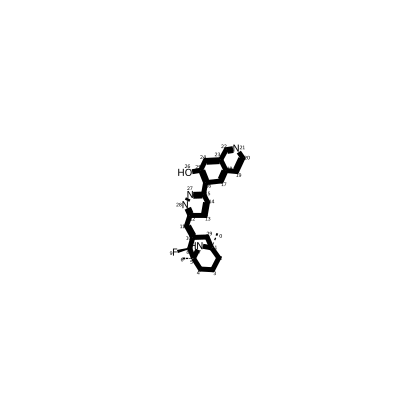 C[C@]12CCC[C@](C)(N1)[C@@H](F)/C(=C/c1ccc(-c3cc4ccncc4cc3O)nn1)C2